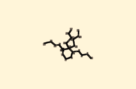 CCCCC1CCCN(CCCC)C1(CCCC)CCCC